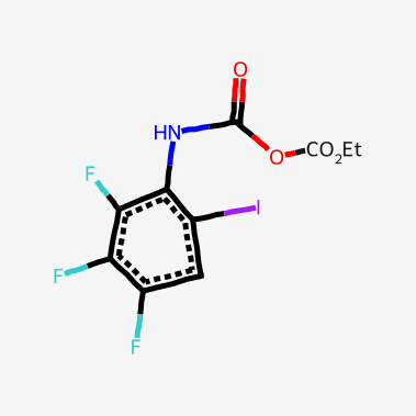 CCOC(=O)OC(=O)Nc1c(I)cc(F)c(F)c1F